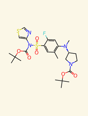 Cc1cc(S(=O)(=O)N(C(=O)OC(C)(C)C)c2cscn2)c(F)cc1N(C)[C@H]1CCN(C(=O)OC(C)(C)C)C1